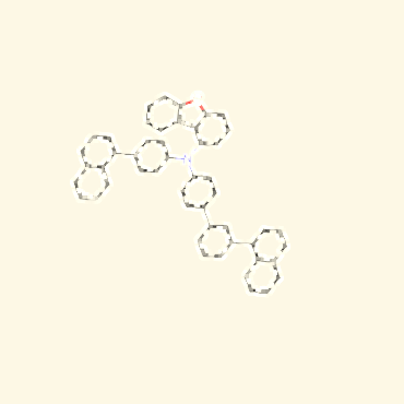 c1cc(-c2ccc(N(c3ccc(-c4cccc5ccccc45)cc3)c3cccc4oc5ccccc5c34)cc2)cc(-c2cccc3ccccc23)c1